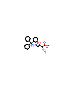 CON=C(C(=O)OC)c1cc(NC(c2ccccc2)(c2ccccc2)c2ccccc2)no1